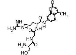 Cc1cc(=O)oc2cc(NC(=O)[C@H](CCCNC(=N)N)NC(=O)CNC(=O)[C@@H](N)CO)ccc12